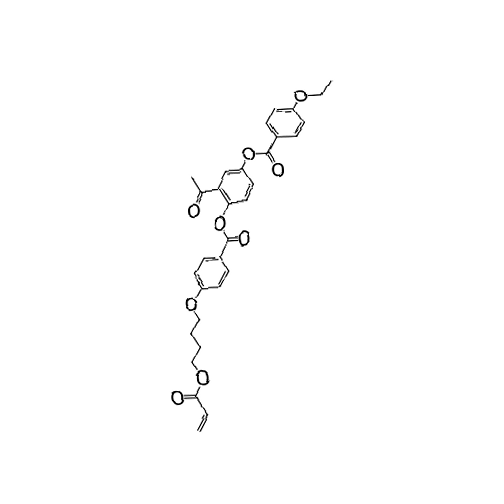 C=CC(=O)OCCCCOc1ccc(C(=O)Oc2ccc(OC(=O)c3ccc(OCC)cc3)cc2C(C)=O)cc1